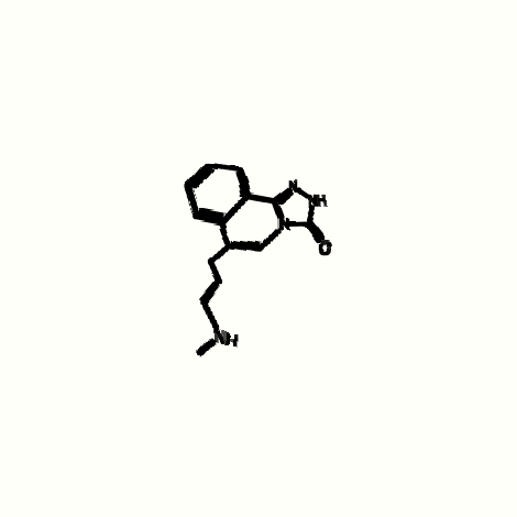 CNCCCc1cn2c(=O)[nH]nc2c2ccccc12